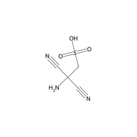 N#CC(N)(C#N)CS(=O)(=O)O